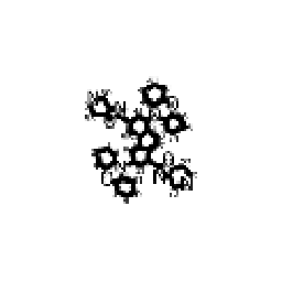 c1ccc2c(c1)Oc1ccccc1N2c1cc(-c2nc3cnccc3o2)c2ccc3c(N4c5ccccc5Oc5ccccc54)cc(-c4nc5cnccc5o4)cc3c2c1